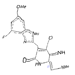 CN/C=C1/NC(=O)C(c2nc3c(F)cc(OC)cc3[nH]2)=C(Cl)C1=N